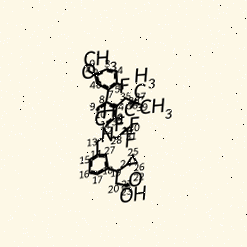 COc1ccc(F)c(-c2ccc(N(Cc3cccc(C(CC(=O)O)C4CC4)c3)CC(F)(F)F)cc2CC(C)(C)C)c1